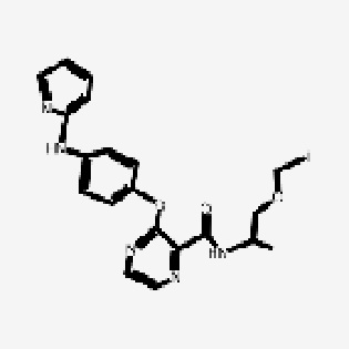 CC(COCI)NC(=O)c1nccnc1Oc1ccc(Nc2ccccn2)cc1